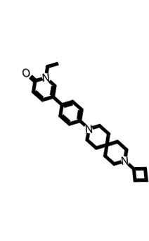 CCn1cc(-c2ccc(N3CCC4(CC3)CCN(C3CCC3)CC4)cc2)ccc1=O